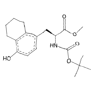 COC(=O)[C@H](Cc1ccc(O)c2c1CCCC2)NC(=O)OC(C)(C)C